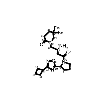 N[C@@H](CC(=O)N1CCC[C@H]1c1nc(C2CCC2)no1)CN1CC(F)(F)CCC1=O